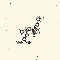 CCc1nccc(-c2ccc3c(c2)cc(C(=O)N2CCc4nn(-c5cc(C)cc(C)c5)c(N5CCN(c6ccc(NC)c(C=N)c6)C5=O)c4C2)n3[C@@]2(c3noc(=O)[nH]3)C[C@@H]2C)c1C